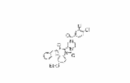 CCOc1ccc(-n2c(C(=O)NCc3ccccc3)c3n(c2=O)CCN(C(=O)c2ccc(Cl)c(Cl)c2)C3)cc1